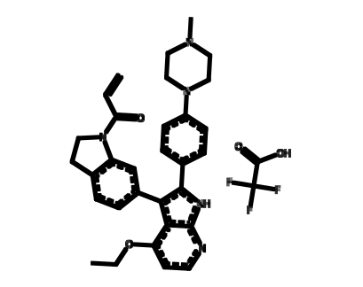 C=CC(=O)N1CCc2ccc(-c3c(-c4ccc(N5CCN(C)CC5)cc4)[nH]c4nccc(OCC)c34)cc21.O=C(O)C(F)(F)F